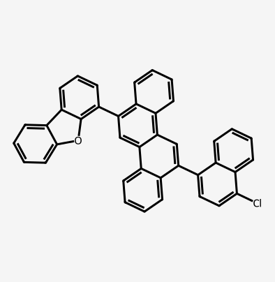 Clc1ccc(-c2cc3c4ccccc4c(-c4cccc5c4oc4ccccc45)cc3c3ccccc23)c2ccccc12